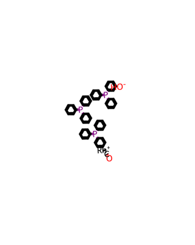 O=[C]=[Rh+].[OH-].c1ccc(P(c2ccccc2)c2ccccc2)cc1.c1ccc(P(c2ccccc2)c2ccccc2)cc1.c1ccc(P(c2ccccc2)c2ccccc2)cc1